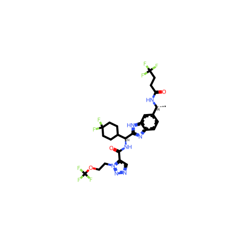 C[C@@H](NC(=O)CCC(F)(F)F)c1ccc2nc([C@@H](NC(=O)c3cnnn3CCOC(F)(F)F)C3CCC(F)(F)CC3)[nH]c2c1